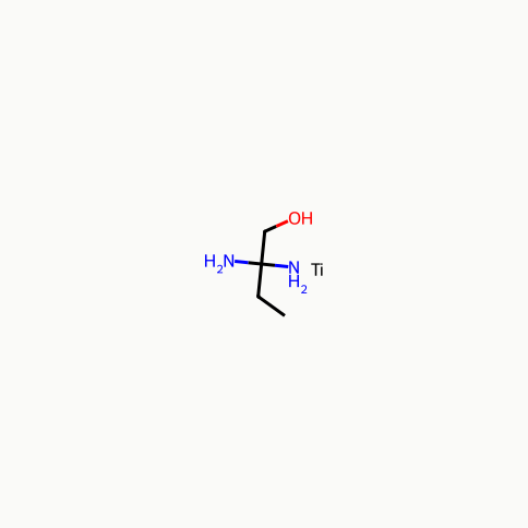 CCC(N)(N)CO.[Ti]